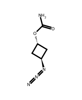 [N-]=[N+]=N[C@H]1C[C@H](OC(N)=O)C1